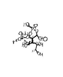 O=CC(OP(=O)(O)O)C(OP(=O)(O)O)C(O)C(O)CO